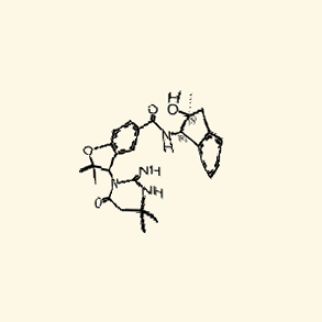 CC1(C)CC(=O)N(C2c3cc(C(=O)N[C@@H]4c5ccccc5C[C@]4(C)O)ccc3OC2(C)C)C(=N)N1